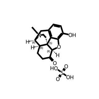 CN1CC[C@]23c4c5ccc(O)c4O[C@H]2C(=O)CC[C@H]3[C@H]1C5.O=S(=O)(O)O